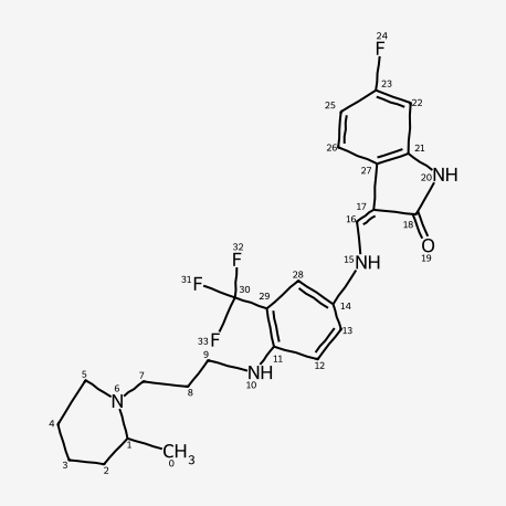 CC1CCCCN1CCCNc1ccc(NC=C2C(=O)Nc3cc(F)ccc32)cc1C(F)(F)F